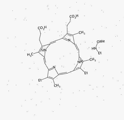 CCC1=C(C)c2cc3[nH]c(cc4nc(cc5[nH]c(cc1n2)c(C)c5CCC(=O)O)C(CCC(=O)O)=C4C)c(C)c3CC.CCNOC